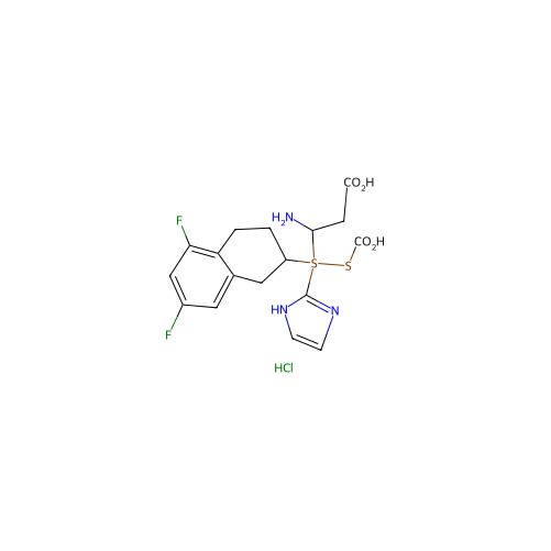 Cl.NC(CC(=O)O)S(SC(=O)O)(c1ncc[nH]1)C1CCc2c(F)cc(F)cc2C1